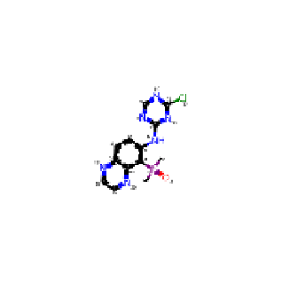 CP(C)(=O)c1c(Nc2ncnc(Cl)n2)ccc2nccnc12